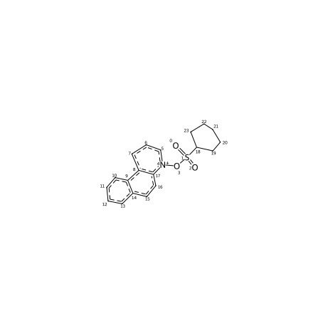 O=S(=O)(O[n+]1cccc2c3ccccc3ccc21)C1CCCCC1